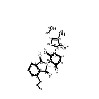 CCCc1cccc2c1C(=O)N(n1c(=O)ccn([C@@H]3O[C@H](CO)[C@@H](O)[C@H]3O)c1=O)C2=O